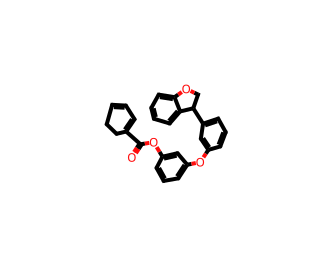 O=C(Oc1cccc(Oc2cccc(C3COc4ccccc43)c2)c1)C1=CC=CCC1